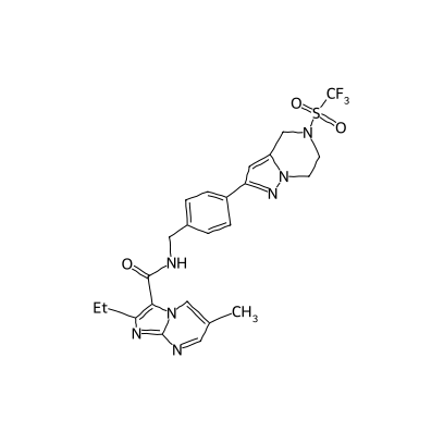 CCc1nc2ncc(C)cn2c1C(=O)NCc1ccc(-c2cc3n(n2)CCN(S(=O)(=O)C(F)(F)F)C3)cc1